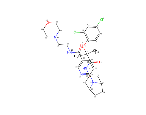 CC(C)(Oc1ccc(Cl)cc1Cl)C(=O)NC1CC2CCC(C1)N2c1ccc(C(=O)NCCN2CCOCC2)cn1